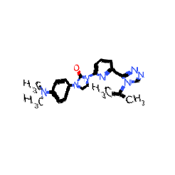 CC(C)n1cnnc1-c1cccc(N2CCN(c3ccc(N(C)C)cc3)C2=O)n1